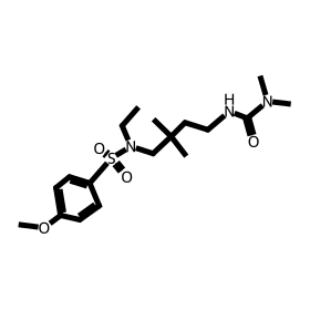 CCN(CC(C)(C)CCNC(=O)N(C)C)S(=O)(=O)c1ccc(OC)cc1